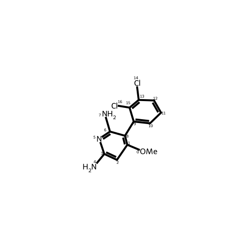 COc1cc(N)nc(N)c1-c1cccc(Cl)c1Cl